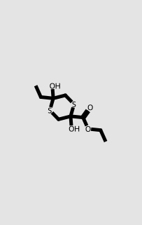 CCOC(=O)C1(O)CSC(O)(CC)CS1